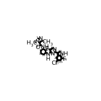 Cc1ncn(C)c1C(=O)N[C@@H]1CCC[C@H](Nc2nc(-c3c[nH]c4c(F)cc(Cl)cc34)ncc2F)C1